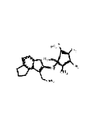 CCC1=[C]([Hf][C]2(C)C(C)=C(C)C(C)=C2C)Cc2ccc3c(c21)CCC3